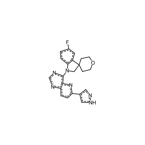 Fc1ccc2c(c1)C1(CCOCC1)CN2c1ncnc2ccc(-c3cn[nH]c3)nc12